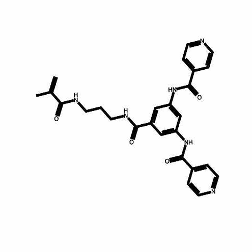 C=C(C)C(=O)NCCCNC(=O)c1cc(NC(=O)c2ccncc2)cc(NC(=O)c2ccncc2)c1